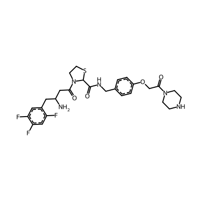 NC(CC(=O)N1CCSC1C(=O)NCc1ccc(OCC(=O)N2CCNCC2)cc1)Cc1cc(F)c(F)cc1F